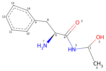 CC(O)NC(=O)[C@@H](N)Cc1ccccc1